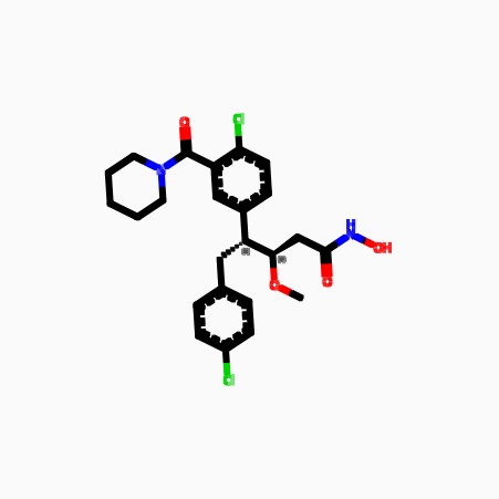 CO[C@H](CC(=O)NO)[C@H](Cc1ccc(Cl)cc1)c1ccc(Cl)c(C(=O)N2CCCCC2)c1